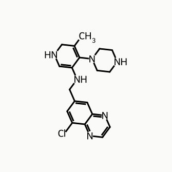 CC1=C(N2CCNCC2)C(NCc2cc(Cl)c3nccnc3c2)=CNC1